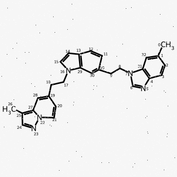 Cc1ccc2ncn(CCc3ccc4ccn(CCc5ccn6ncc(C)c6c5)c4c3)c2c1